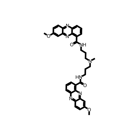 COc1ccc2nc3cccc(C(=O)NCCCN(C)CCCNC(=O)c4cccc5nc6ccc(OC)cc6nc45)c3nc2c1